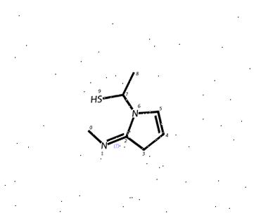 C/N=C1/CC=CN1C(C)S